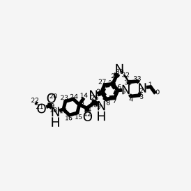 CCN1CCN(c2cc3[nH]c(C(=O)C4(C)CCC(NC(=O)OC)CC4)nc3cc2C#N)[C@@H](C)C1